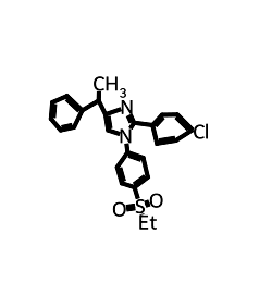 CCS(=O)(=O)c1ccc(-n2cc(C(C)c3ccccc3)nc2-c2ccc(Cl)cc2)cc1